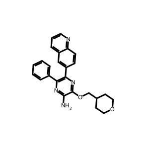 Nc1nc(-c2ccccc2)c(-c2ccc3ncccc3c2)nc1OCC1CCOCC1